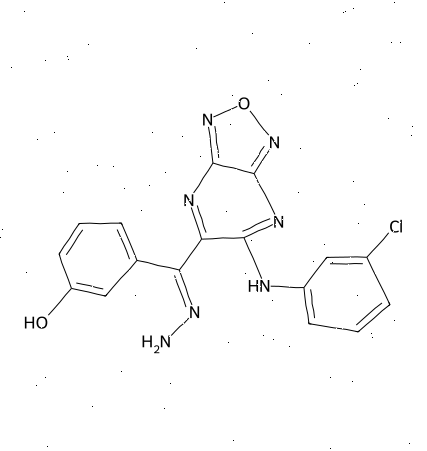 NN=C(c1cccc(O)c1)c1nc2nonc2nc1Nc1cccc(Cl)c1